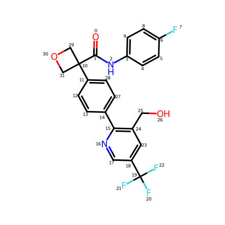 O=C(Nc1ccc(F)cc1)C1(c2ccc(-c3ncc(C(F)(F)F)cc3CO)cc2)COC1